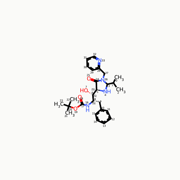 CC(C)C1N[C@@H]([C@@H](O)[C@H](Cc2ccccc2)NC(=O)OC(C)(C)C)C(=O)N1Cc1ccccn1